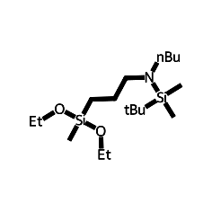 CCCCN(CCC[Si](C)(OCC)OCC)[Si](C)(C)C(C)(C)C